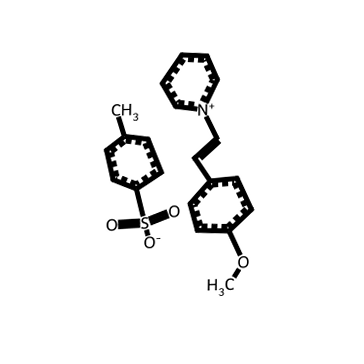 COc1ccc(C=C[n+]2ccccc2)cc1.Cc1ccc(S(=O)(=O)[O-])cc1